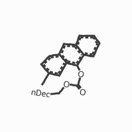 CCCCCCCCCCCOC(=O)Oc1c2ccccc2cc2ccc(C)cc12